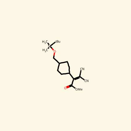 COC(=O)C(=C(C#N)C#N)C1CCC(CO[Si](C)(C)C(C)(C)C)CC1